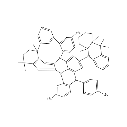 CC(C)(C)c1ccc(N2c3ccc(C(C)(C)C)cc3B3c4cc5c6cc4N(c4ccc(C(C)(C)C)cc4-c4cccc(c4)C6(C)CCC5(C)C)c4cc(N5c6ccccc6C(C)(C)C6(C)CCCCC56C)cc2c43)cc1